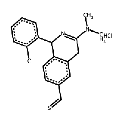 CN(C)C1=NC(c2ccccc2Cl)c2ccc(C=S)cc2C1.Cl